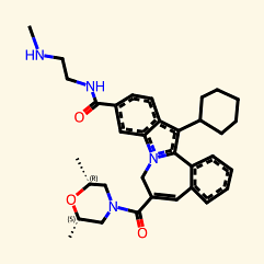 CNCCNC(=O)c1ccc2c(C3CCCCC3)c3n(c2c1)CC(C(=O)N1C[C@@H](C)O[C@@H](C)C1)=Cc1ccccc1-3